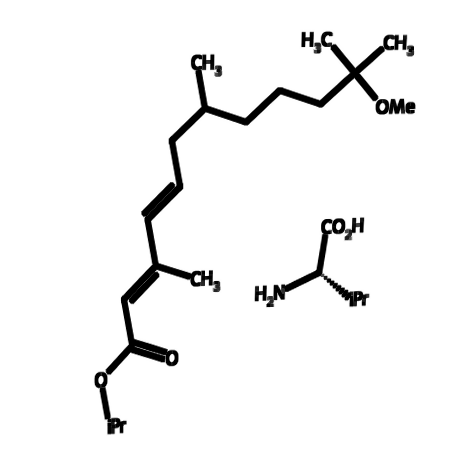 CC(C)[C@H](N)C(=O)O.COC(C)(C)CCCC(C)C/C=C/C(C)=C/C(=O)OC(C)C